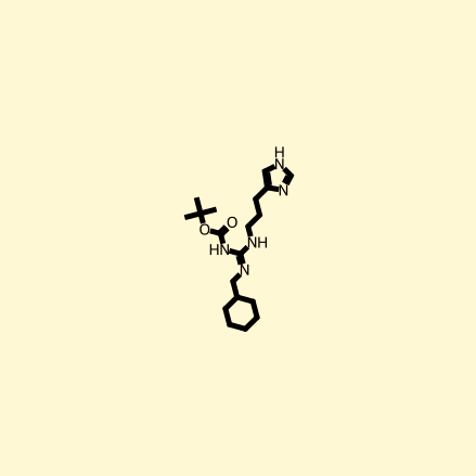 CC(C)(C)OC(=O)N/C(=N\CC1CCCCC1)NCCCc1c[nH]cn1